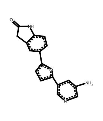 Nc1cncc(-c2ccc(-c3ccc4c(c3)CC(=O)N4)s2)c1